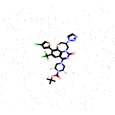 C[C@@H]1CN(c2nc(=O)n3c4c(c(-c5cc(Cl)cs5)c(C(F)(F)F)cc24)SC[C@@H](n2ccnn2)C3)C[C@H](C)N1C(=O)OC(C)(C)C